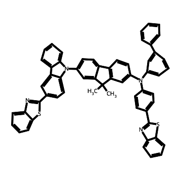 CC1(C)c2cc(N(c3ccc(-c4nc5ccccc5s4)cc3)c3cccc(-c4ccccc4)c3)ccc2-c2ccc(-n3c4ccccc4c4cc(-c5nc6ccccc6s5)ccc43)cc21